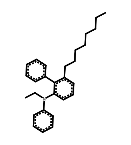 CCCCCCCCc1cccc(N(CC)c2ccccc2)c1-c1ccccc1